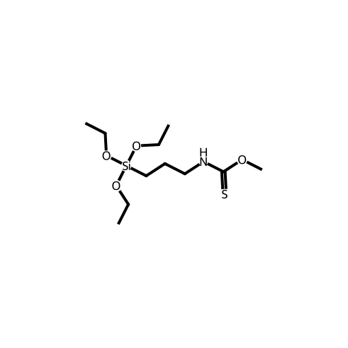 CCO[Si](CCCNC(=S)OC)(OCC)OCC